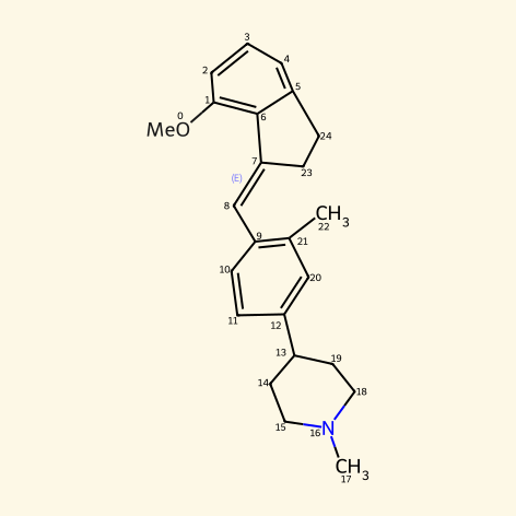 COc1cccc2c1/C(=C/c1ccc(C3CCN(C)CC3)cc1C)CC2